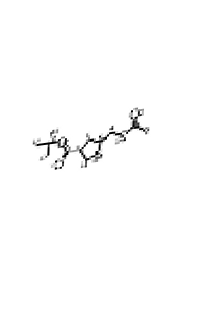 CC(=O)SCC1CC(C(=O)OC(C)(C)C)CS1